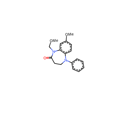 COCN1C(=O)CCN(c2ccccc2)c2ccc(OC)cc21